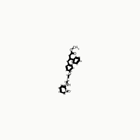 COC(=O)CC(Cc1ccc(OCCCNc2cccc[n+]2[O-])cc1)c1ccccc1